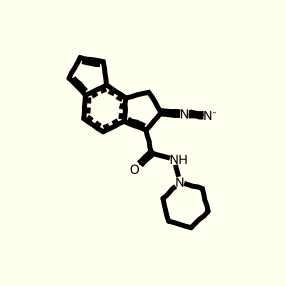 [N-]=[N+]=C1Cc2c3c(ccc2=C1C(=O)NN1CCCCC1)=CC=C3